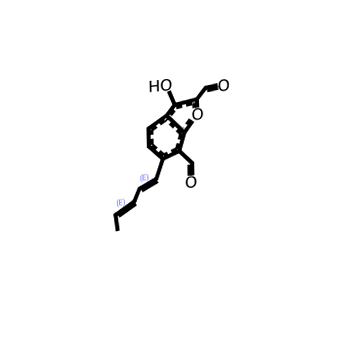 C/C=C/C=C/c1ccc2c(O)c(C=O)oc2c1C=O